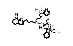 Cc1ncccc1OCCN(CCCCc1ccc2c(n1)NCCC2)CC[C@H](Nc1nn(C)c2ccccc12)C(=O)O